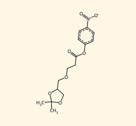 CC1(C)OCC(COCCC(=O)Oc2ccc([N+](=O)[O-])cc2)O1